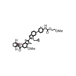 COCCOC(=O)Nc1ccc(-c2ccc3cc(-c4nc5cc(C(=O)N6C[C@H]7CC[C@@H]6[C@@H]7N)cc(OC)c5n4C)n(CC4CC4)c3c2)cn1